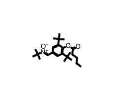 CCCCC(=O)Oc1c(C(C)(C)C)cc(C=[N+]([O-])C(C)(C)C)cc1C(C)(C)C